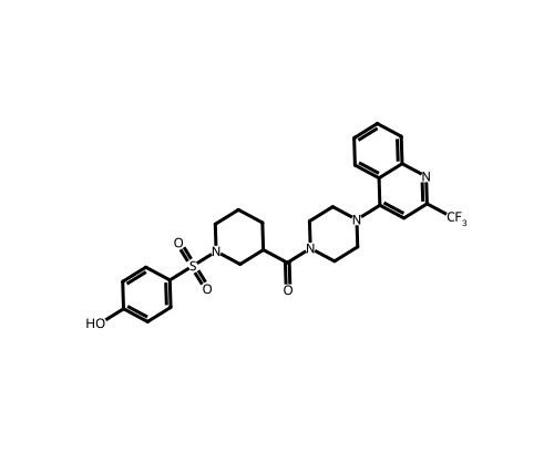 O=C(C1CCCN(S(=O)(=O)c2ccc(O)cc2)C1)N1CCN(c2cc(C(F)(F)F)nc3ccccc23)CC1